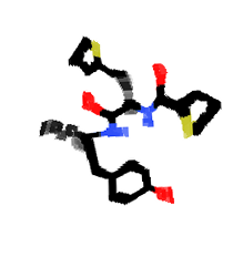 O=C(N[C@@H](Cc1cccs1)C(=O)N[C@@H](CC1C=CC(O)=CC1)C(=O)O)c1cccs1